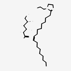 CCCCCCCC/C=C\CCCCCCCC1=NCCN1CCO.O=C(O)[C@H](O)[C@@H](O)[C@H](O)[C@H](O)CO